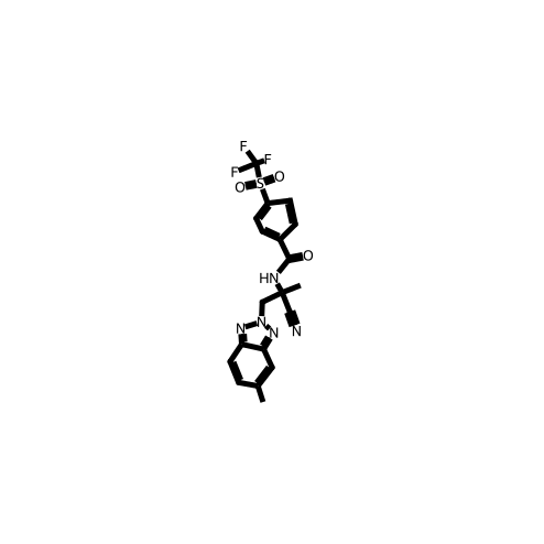 Cc1ccc2nn(CC(C)(C#N)NC(=O)c3ccc(S(=O)(=O)C(F)(F)F)cc3)nc2c1